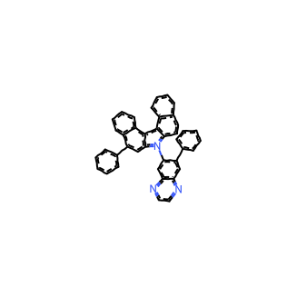 c1ccc(-c2cc3nccnc3cc2-n2c3ccc4ccccc4c3c3c4ccccc4c(-c4ccccc4)cc32)cc1